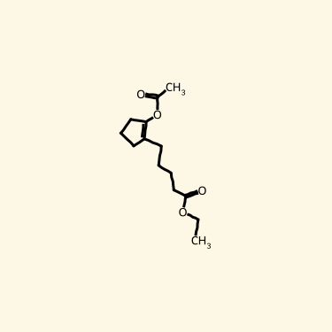 CCOC(=O)CCCCC1=C(OC(C)=O)CCC1